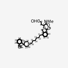 CNC(=O)C(CCC=O)N1Cc2c(CCCCCCN3CCC(C#N)(c4ccccc4Cl)CC3)cccc2C1=O